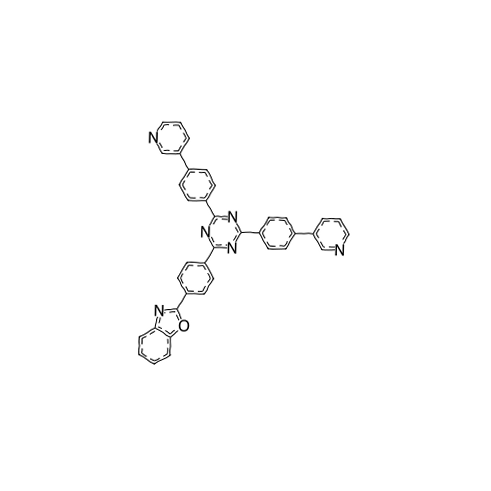 c1cncc(-c2ccc(-c3nc(-c4ccc(-c5cccnc5)cc4)nc(-c4ccc(-c5nc6ccccc6o5)cc4)n3)cc2)c1